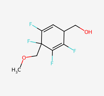 COCC1(F)C(F)=CC(CO)C(F)=C1F